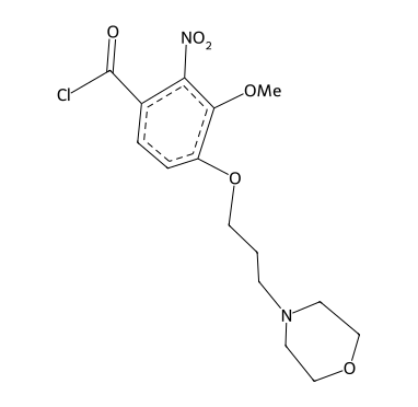 COc1c(OCCCN2CCOCC2)ccc(C(=O)Cl)c1[N+](=O)[O-]